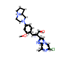 COc1cc(N2CCN3CCCC3C2)ccc1/C=C(\C=O)c1cn2cc(Cl)nc(C)c2n1